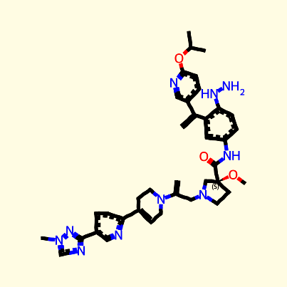 C=C(c1ccc(OC(C)C)nc1)c1cc(NC(=O)[C@]2(OC)CCN(CC(=C)N3CC=C(c4ccc(-c5ncn(C)n5)cn4)CC3)C2)ccc1NN